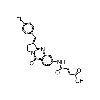 O=C(O)/C=C/C(=O)Nc1ccc2c(=O)n3c(nc2c1)C(=Cc1ccc(Cl)cc1)CC3